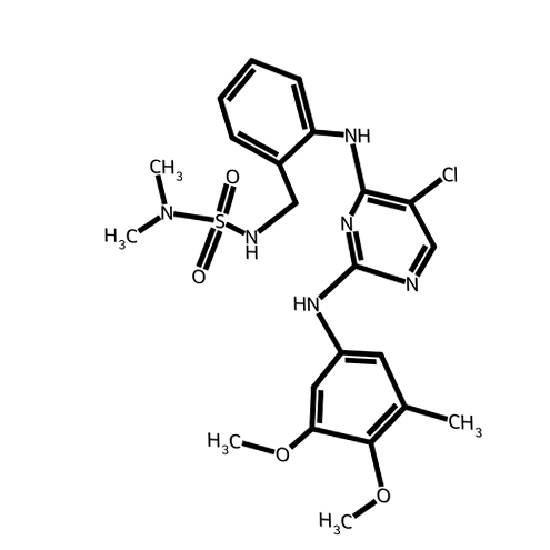 COc1cc(Nc2ncc(Cl)c(Nc3ccccc3CNS(=O)(=O)N(C)C)n2)cc(C)c1OC